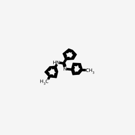 Cc1ccc(/N=C(/Nc2ccc(C)cc2)c2ccccc2)cc1